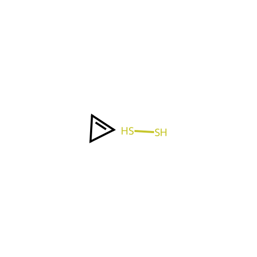 C1=CC1.SS